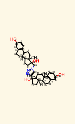 C[C@]12CCC3c4ccc(O)cc4CC[C@H]3C1CC[C@@]2(O)Cn1cc([C@]2(O)CC[C@H]3C4CCc5cc(O)ccc5[C@H]4CC[C@@]32C)nn1